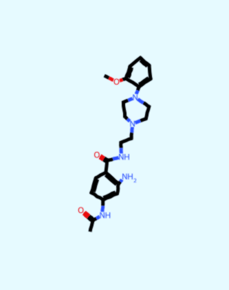 COc1ccccc1N1CCN(CCNC(=O)c2ccc(NC(C)=O)cc2N)CC1